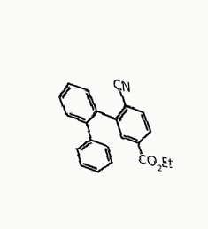 CCOC(=O)c1ccc(C#N)c(-c2ccccc2-c2ccccc2)c1